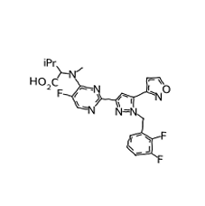 CC(C)C(C(=O)O)N(C)c1nc(-c2cc(-c3ccon3)n(Cc3cccc(F)c3F)n2)ncc1F